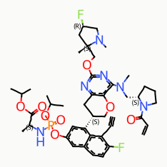 C#Cc1c(F)ccc2cc(OP(=O)(N[C@@H](C)C(=O)OC(C)C)OC(C)C)cc([C@H]3COc4c(nc(OC[C@]5(C)C[C@@H](F)CN5C)nc4N(C)C[C@@H]4CCCN4C(=O)C=C)C3)c12